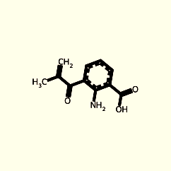 C=C(C)C(=O)c1cccc(C(=O)O)c1N